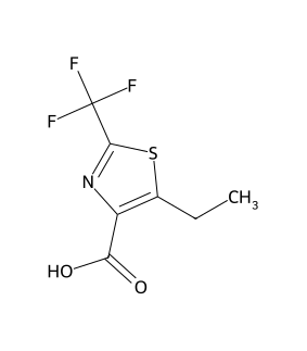 CCc1sc(C(F)(F)F)nc1C(=O)O